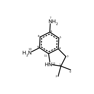 CC1(C)Cc2cc(N)cc(N)c2N1